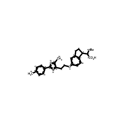 CCCCC(C(=O)O)C1CCc2cc(OCCc3nc(-c4ccc(C)cc4)oc3C)ccc21